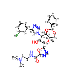 CCN(CC)CCNC(=O)c1nnc([C@@H]2O[C@@H]3CO[C@H](c4ccccc4)O[C@@H]3[C@H](n3cc(-c4cccc(F)c4)nn3)[C@H]2O)o1